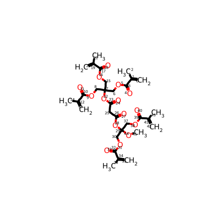 C=C(C)C(=O)OCC(COC(=O)C(=C)C)(COC(=O)C(=C)C)OC(=O)CC(=O)OC(COC(=O)C(=C)C)(COC(=O)C(=C)C)OC